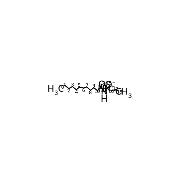 CCCCCCCCCCCC(=O)N[NH+]([O-])CCC